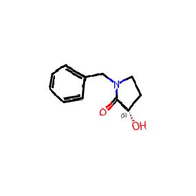 O=C1[C@@H](O)CCN1Cc1ccccc1